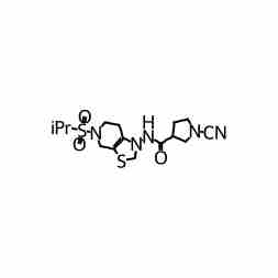 CC(C)S(=O)(=O)N1CCC2=C(C1)SCN2NC(=O)C1CCN(C#N)C1